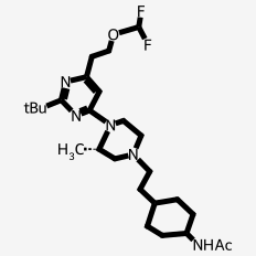 CC(=O)NC1CCC(CCN2CCN(c3cc(CCOC(F)F)nc(C(C)(C)C)n3)[C@@H](C)C2)CC1